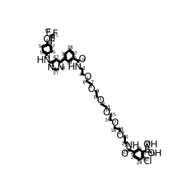 O=C(NCCOCCOCCOCCOCCOCCOCCNC(=O)c1ccc(Cl)c(B(O)O)c1)c1cccc(-c2cc(Nc3ccc(OC(F)(F)F)cc3)ncn2)c1